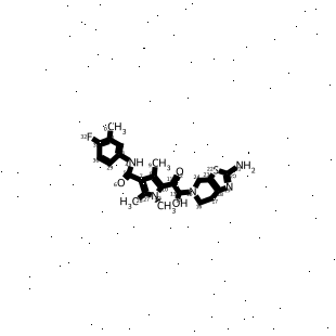 Cc1cc(NC(=O)c2c(C)c(C(=O)C(O)N3CCc4nc(N)sc4C3)n(C)c2C)ccc1F